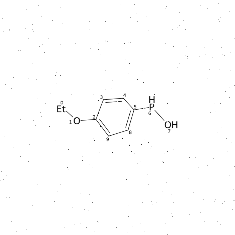 CCOc1ccc(PO)cc1